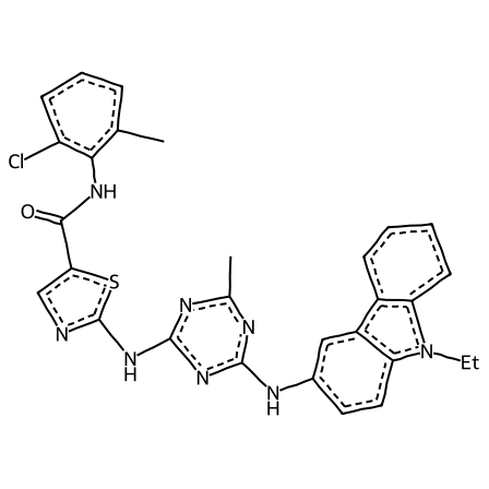 CCn1c2ccccc2c2cc(Nc3nc(C)nc(Nc4ncc(C(=O)Nc5c(C)cccc5Cl)s4)n3)ccc21